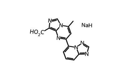 Cc1cc(-c2cccc3ncnn23)nc2c(C(=O)O)ncn12.[NaH]